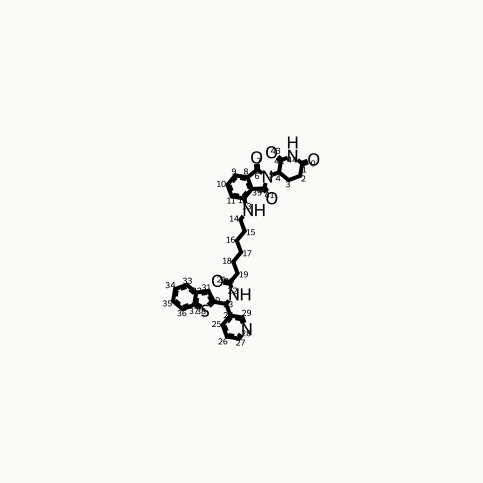 O=C1CCC(N2C(=O)c3cccc(NCCCCCCC(=O)NC(c4cccnc4)c4cc5ccccc5s4)c3C2=O)C(=O)N1